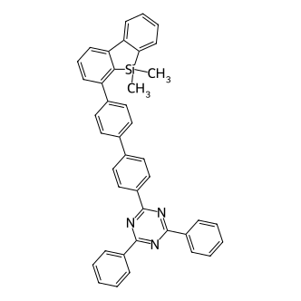 C[Si]1(C)c2ccccc2-c2cccc(-c3ccc(-c4ccc(-c5nc(-c6ccccc6)nc(-c6ccccc6)n5)cc4)cc3)c21